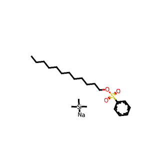 CCCCCCCCCCCCOS(=O)(=O)c1ccccc1.C[Si](C)(C)[Na]